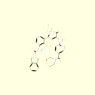 Cc1c(NC(=O)N2Cc3ccccc3C2)cccc1-c1cc(Nc2ccc(C(=O)N3CCOCC3)cn2)c(=O)n(C)n1